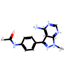 CCC(=O)Nc1ccc(-c2nn(C(C)(C)C)c3ncnc(N)c23)cc1